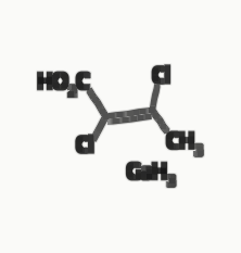 C/C(Cl)=C(\Cl)C(=O)O.[GaH3]